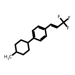 CC1CCC(c2ccc(C=CC(F)(F)F)cc2)CC1